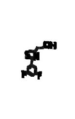 OCCc1csc(-c2cc(F)cc(F)c2)n1